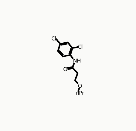 CCCOCCC(=O)Nc1ccc(Cl)cc1Cl